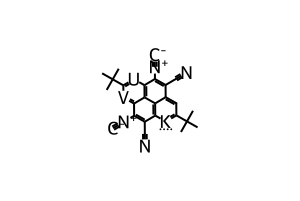 [C-]#[N+]c1c(C#N)c2c3[c](c(C#N)c([N+]#[C-])[c]4c3[c]1[U]=[C](C(C)(C)C)[V]=4)[K]=[C](C(C)(C)C)C=2